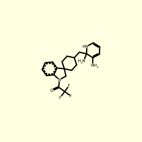 NC1=CC=CNC1(N)CC1CCC2(CC1)CN(C(=O)C(F)(F)F)c1ccccc12